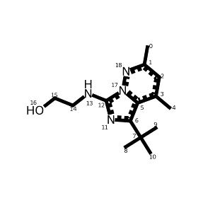 Cc1cc(C)c2c(C(C)(C)C)nc(NCCO)n2n1